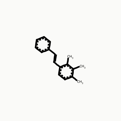 Cc1ccc(C=Cc2ccccc2)c(C)c1C